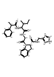 CCC(C)C(NC(=O)C(C)c1ccccc1)C(=O)NCC(=O)N1c2ccccc2C[C@H]1C(=O)NCc1nn[nH]n1